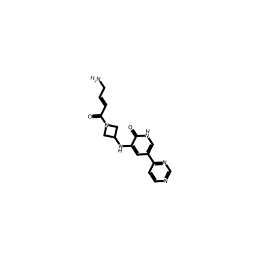 NCC=CC(=O)N1CC(Nc2cc(-c3ccncn3)c[nH]c2=O)C1